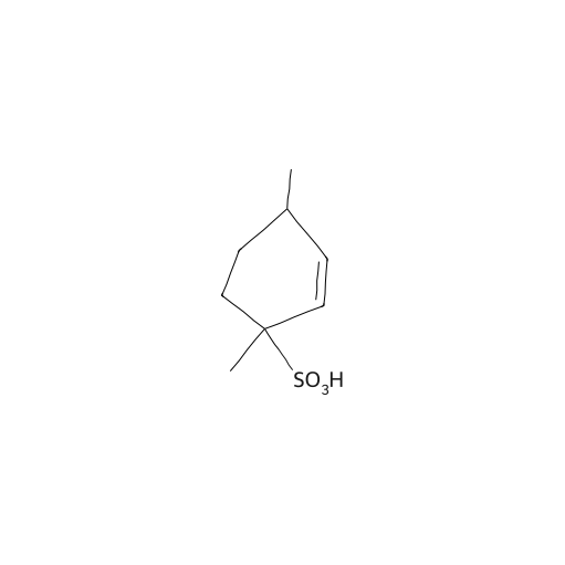 CC1C=CC(C)(S(=O)(=O)O)CC1